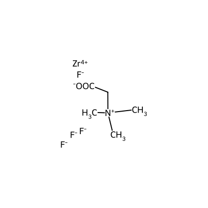 C[N+](C)(C)CC(=O)[O-].[F-].[F-].[F-].[F-].[Zr+4]